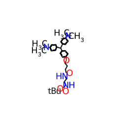 CN(C)c1ccc(C(c2ccc(OCCCC(=O)NCCNC(=O)OC(C)(C)C)cc2)c2ccc(N(C)C)cc2)cc1